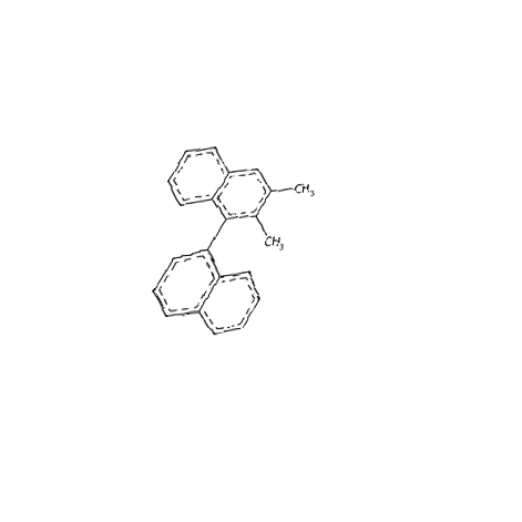 Cc1cc2ccccc2c(-c2cccc3ccccc23)c1C